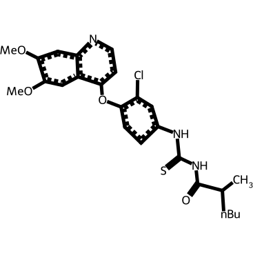 CCCCC(C)C(=O)NC(=S)Nc1ccc(Oc2ccnc3cc(OC)c(OC)cc23)c(Cl)c1